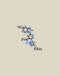 COCc1cn(-c2cnc(-n3cnc4cc(C#N)cnc43)cc2NC(C)C)nn1